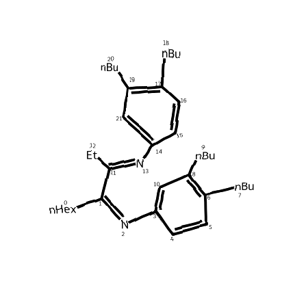 CCCCCCC(=Nc1ccc(CCCC)c(CCCC)c1)C(CC)=Nc1ccc(CCCC)c(CCCC)c1